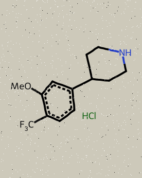 COc1cc(C2CCNCC2)ccc1C(F)(F)F.Cl